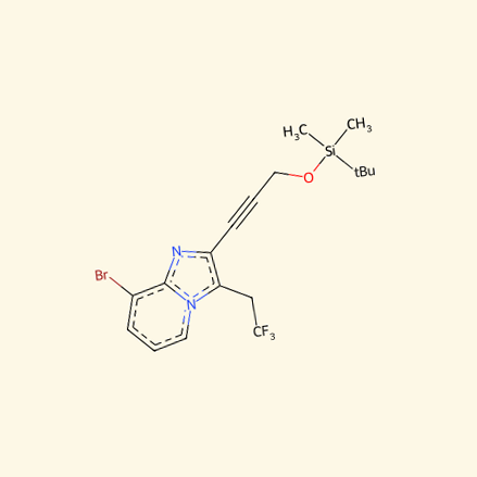 CC(C)(C)[Si](C)(C)OCC#Cc1nc2c(Br)cccn2c1CC(F)(F)F